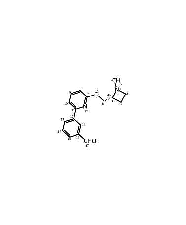 CN1CC[C@@H]1COc1cccc(-c2cccc(C=O)c2)n1